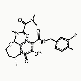 Cc1ccc(CNC(=O)c2nc3n(c(=O)c2O)[C@H](C)CCC[C@H]3N(C)C(=O)C(=O)N(C)C)cc1F